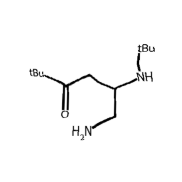 CC(C)(C)NC(CN)CC(=O)C(C)(C)C